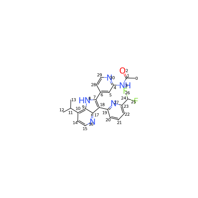 CC(=O)Nc1cc(-c2[nH]c3c(C(C)C)ccnc3c2-c2cccc(C(F)F)n2)ccn1